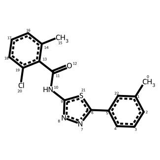 Cc1cccc(-c2nnc(NC(=O)c3c(C)cccc3Cl)s2)c1